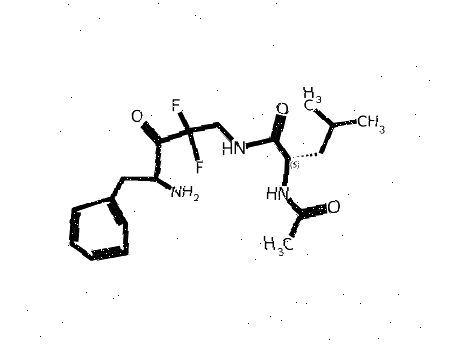 CC(=O)N[C@@H](CC(C)C)C(=O)NCC(F)(F)C(=O)C(N)Cc1ccccc1